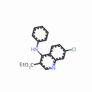 CCOC(=O)c1cnc2cc(Cl)ccc2c1Nc1ccccc1